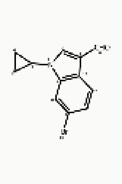 O=Cc1cn(C2CC2)c2cc(Br)ccc12